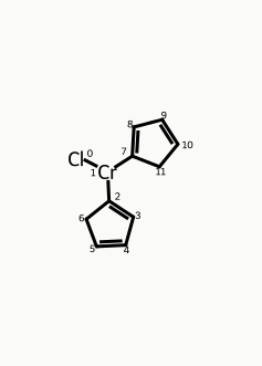 [Cl][Cr]([C]1=CC=CC1)[C]1=CC=CC1